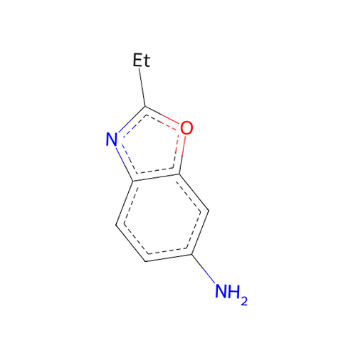 CCc1nc2ccc(N)cc2o1